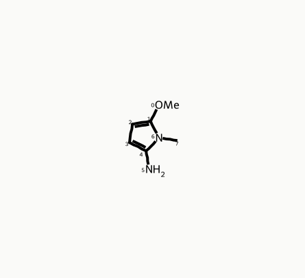 COc1ccc(N)n1C